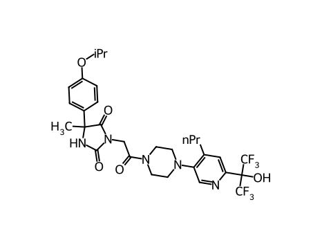 CCCc1cc(C(O)(C(F)(F)F)C(F)(F)F)ncc1N1CCN(C(=O)CN2C(=O)NC(C)(c3ccc(OC(C)C)cc3)C2=O)CC1